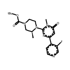 C[C@H]1CN(C(=O)OC(C)(C)C)CCN1c1nc(-c2ccncc2F)cc(=O)n1C